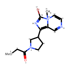 COCC(=O)N1CCC(C2=C3C=NC=C[N+]3(C)C(Br)=N2)C1